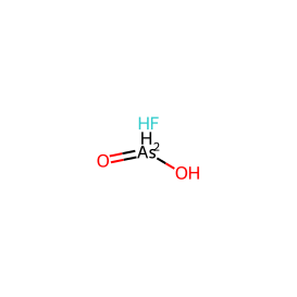 F.O=[AsH2]O